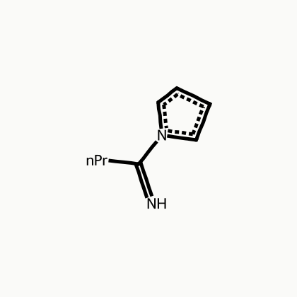 CCCC(=N)n1cccc1